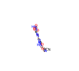 N#Cc1ccc(OC2CCC(NC(=O)c3ccc(N4CCC(CCN5CCN(c6ccc7c(c6)C(=O)N(C6CCC(=O)NC6=O)C7=O)CC5)CC4)nn3)CC2)c2cccnc12